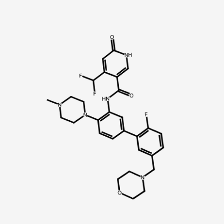 CN1CCN(c2ccc(-c3cc(CN4CCOCC4)ccc3F)cc2NC(=O)c2c[nH]c(=O)cc2C(F)F)CC1